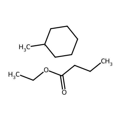 CCCC(=O)OCC.C[C]1CCCCC1